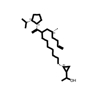 C=CCC[C@@H](C)CC(CCCCCCC[C@@H]1CC1C(C)O)C(=C)[C@H]1CCC[C@H]1C(C)C